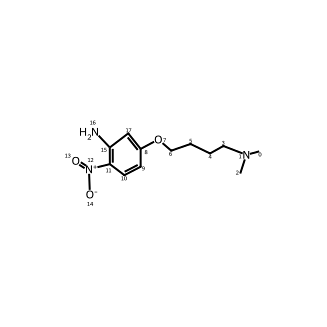 CN(C)CCCCOc1ccc([N+](=O)[O-])c(N)c1